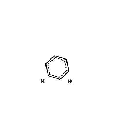 [N].[N].c1ccccc1